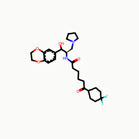 O=C(CCCCC(=O)C1CCC(F)(F)CC1)N[C@H](CN1CCCC1)C(O)c1ccc2c(c1)OCCO2